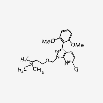 COc1cccc(OC)c1-c1nn(COCC[Si](C)(C)C)c2nc(Cl)ccc12